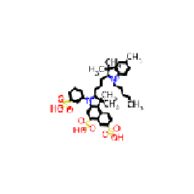 CCCCC[N+]1=C(CCCC2N(c3cccc(S(=O)(=O)O)c3)c3cc(S(=O)(=O)O)c4cc(S(=O)(=O)O)ccc4c3C2(C)C)C(C)(C)c2cc(C)ccc21